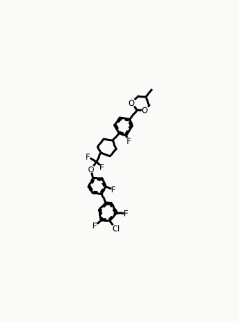 CC1COC(c2ccc(C3CCC(C(F)(F)Oc4ccc(-c5cc(F)c(Cl)c(F)c5)c(F)c4)CC3)c(F)c2)OC1